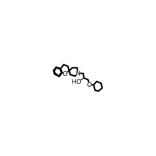 O[C@H](COC1CCCCC1)CN1CCC2(CCc3ccccc3O2)CC1